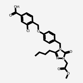 CCCCc1nn(CC(=O)OC)c(=O)n1Cc1ccc(OCc2ccc(C(=O)O)cc2Cl)cc1